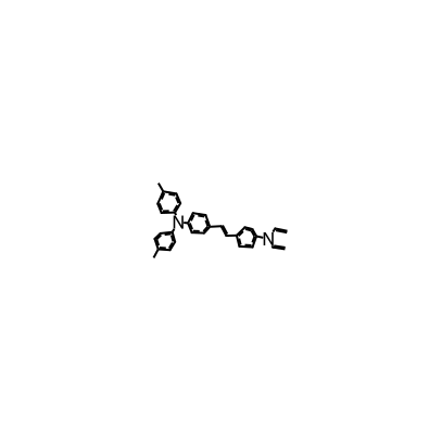 C=CN(C=C)c1ccc(C=Cc2ccc(N(c3ccc(C)cc3)c3ccc(C)cc3)cc2)cc1